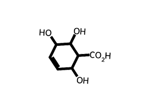 O=C(O)C1C(O)C=CC(O)C1O